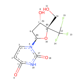 O=c1ccn([C@H]2C[C@H](O)[C@](CO)(C(F)(F)F)O2)c(=O)[nH]1